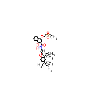 CCC(C)(C)c1ccc(OCCCNC(=O)c2cc(OCCS(=O)(=O)CC)c3ccccc3c2O)c(C(C)(C)CC)c1